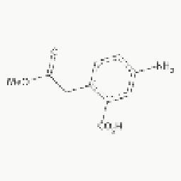 COC(=O)Cc1ccc(N)cc1C(=O)O